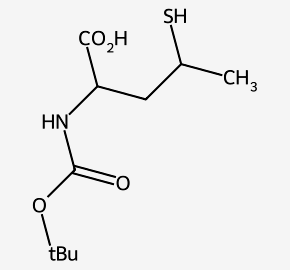 CC(S)CC(NC(=O)OC(C)(C)C)C(=O)O